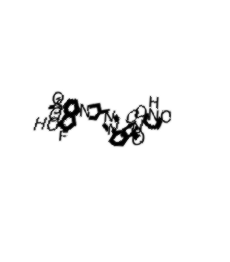 CS(=O)(=O)c1ccc(N2CCC(CN3CCN(c4cccc5c4C(=O)N(C4CCC(=O)NC4=O)C5=O)CC3)CC2)c2c1[C@H](O)C(F)C2